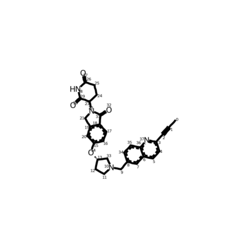 CC#Cc1ccc2cc(CN3CC[C@H](Oc4ccc5c(c4)CN(C4CCC(=O)NC4=O)C5=O)C3)ccc2n1